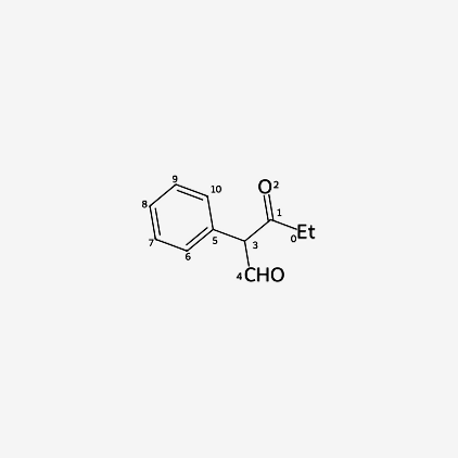 CCC(=O)C(C=O)c1ccccc1